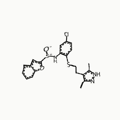 Cc1n[nH]c(C)c1CCSc1ccc(Cl)cc1N[S+]([O-])c1cc2ccccc2o1